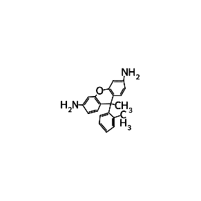 Cc1ccccc1C1(C)c2ccc(N)cc2Oc2cc(N)ccc21